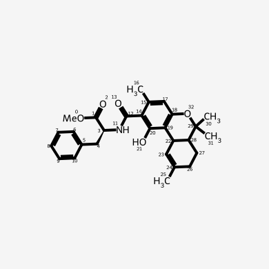 COC(=O)[C@H](Cc1ccccc1)NC(=O)c1c(C)cc2c(c1O)C1C=C(C)CCC1C(C)(C)O2